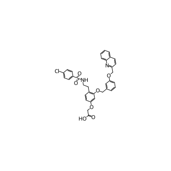 O=C(O)COc1ccc(CCNS(=O)(=O)c2ccc(Cl)cc2)c(OCc2cccc(OCc3ccc4ccccc4n3)c2)c1